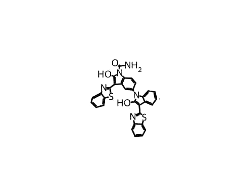 NC(=O)n1c(O)c(-c2nc3ccccc3s2)c2cc(-n3c(O)c(-c4nc5ccccc5s4)c4c[c]ccc43)ccc21